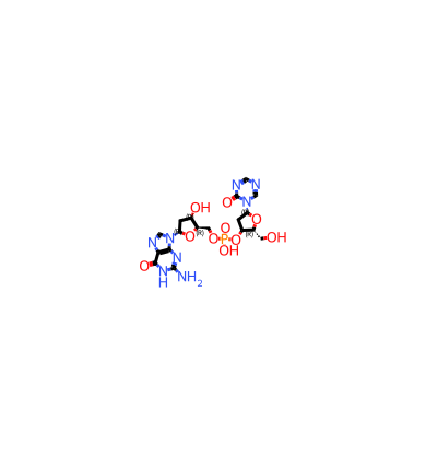 Nc1nc2c(ncn2[C@H]2C[C@@H](O)[C@@H](COP(=O)(O)OC3C[C@H](n4cncnc4=O)O[C@@H]3CO)O2)c(=O)[nH]1